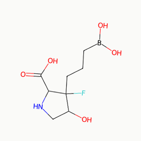 O=C(O)C1NCC(O)C1(F)CCCB(O)O